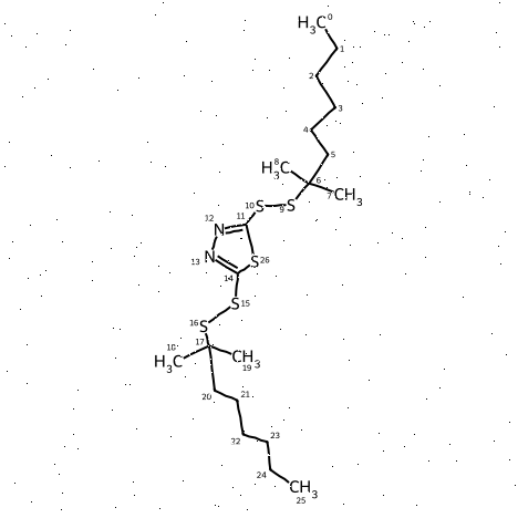 CCCCCCC(C)(C)SSc1nnc(SSC(C)(C)CCCCCC)s1